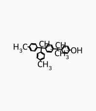 Cc1ccc(C(C)(c2ccc(C)cc2)c2ccc(C(C)(C)c3ccc(O)cc3)cc2)cc1